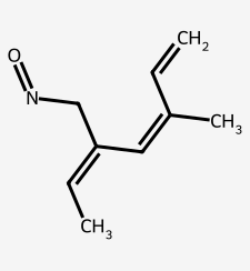 C=C/C(C)=C\C(=C/C)CN=O